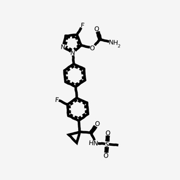 CS(=O)(=O)NC(=O)C1(c2ccc(-c3ccc(-n4ncc(F)c4OC(N)=O)cc3)c(F)c2)CC1